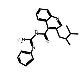 CC(C)C(C)Cc1cnc2ccccc2c1C(=O)NC(N)=Nc1ccccc1